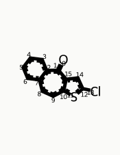 O=c1c2ccccc2ccc2sc(Cl)cc12